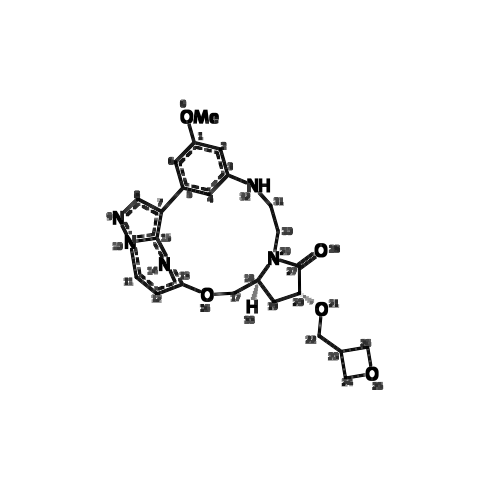 COc1cc2cc(c1)-c1cnn3ccc(nc13)OC[C@@H]1C[C@@H](OCC3COC3)C(=O)N1CCN2